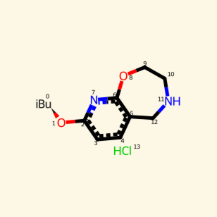 CC[C@H](C)Oc1ccc2c(n1)OCCNC2.Cl